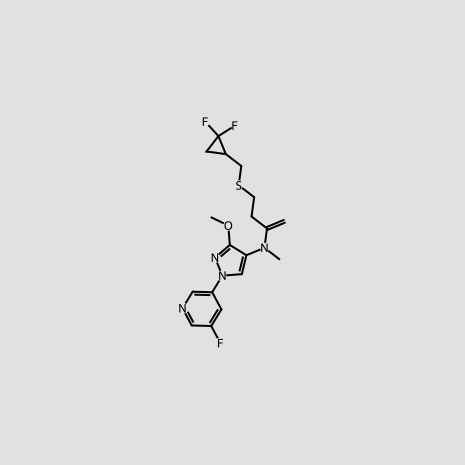 C=C(CCSCC1CC1(F)F)N(C)c1cn(-c2cncc(F)c2)nc1OC